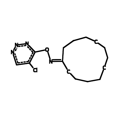 Clc1cnnnc1ON=C1CCCCCCCCCCC1